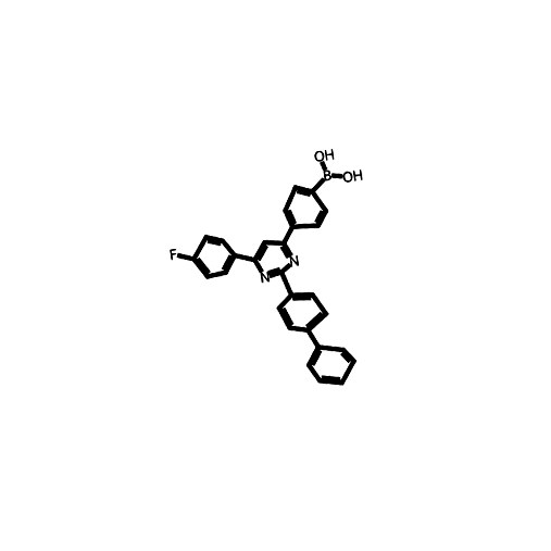 OB(O)c1ccc(-c2cc(-c3ccc(F)cc3)nc(-c3ccc(-c4ccccc4)cc3)n2)cc1